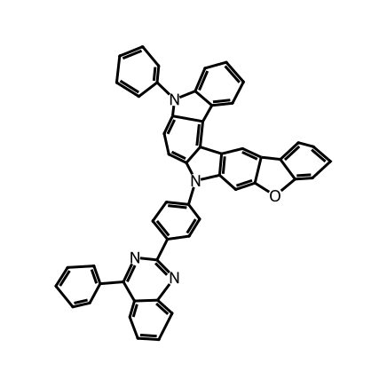 c1ccc(-c2nc(-c3ccc(-n4c5cc6oc7ccccc7c6cc5c5c6c7ccccc7n(-c7ccccc7)c6ccc54)cc3)nc3ccccc23)cc1